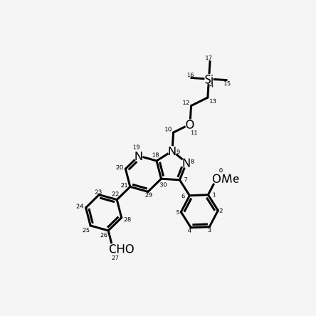 COc1ccccc1-c1nn(COCC[Si](C)(C)C)c2ncc(-c3cccc(C=O)c3)cc12